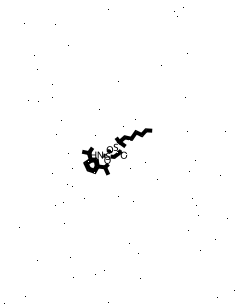 CCCCCCC(C)(C)SC(=O)CS(=O)(=O)Nc1c(C(C)C)cccc1C(C)C